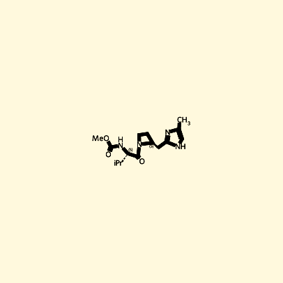 COC(=O)N[C@H](C(=O)N1CC[C@H]1Cc1nc(C)c[nH]1)C(C)C